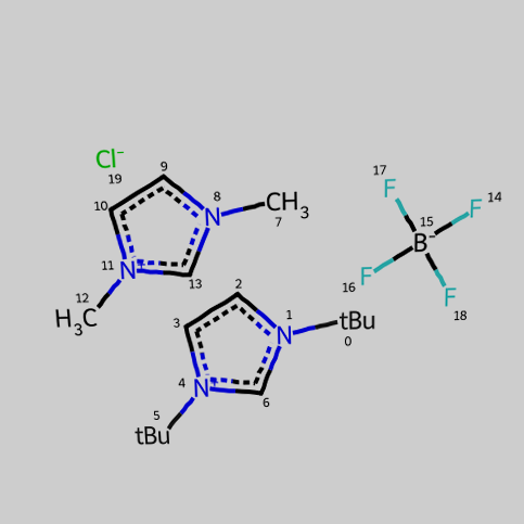 CC(C)(C)n1cc[n+](C(C)(C)C)c1.Cn1cc[n+](C)c1.F[B-](F)(F)F.[Cl-]